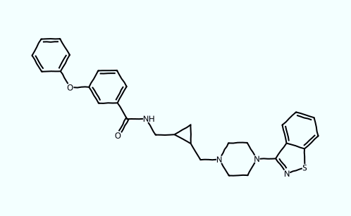 O=C(NCC1CC1CN1CCN(c2nsc3ccccc23)CC1)c1cccc(Oc2ccccc2)c1